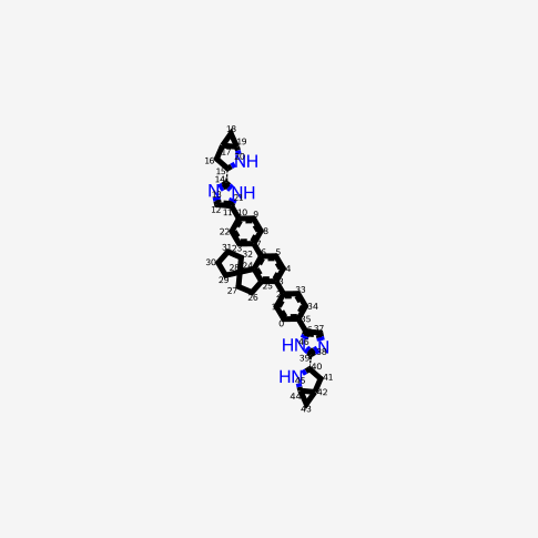 c1cc(-c2ccc(-c3ccc(-c4cnc([C@@H]5CC6CC6N5)[nH]4)cc3)c3c2CCC32CCCC2)ccc1-c1cnc([C@@H]2CC3CC3N2)[nH]1